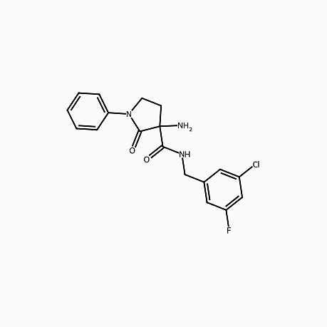 NC1(C(=O)NCc2cc(F)cc(Cl)c2)CCN(c2ccccc2)C1=O